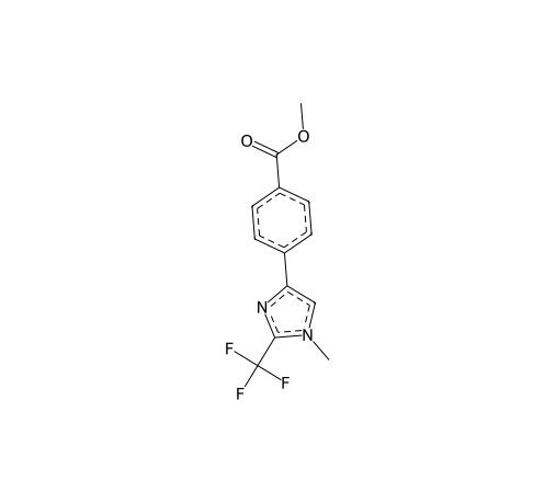 COC(=O)c1ccc(-c2cn(C)c(C(F)(F)F)n2)cc1